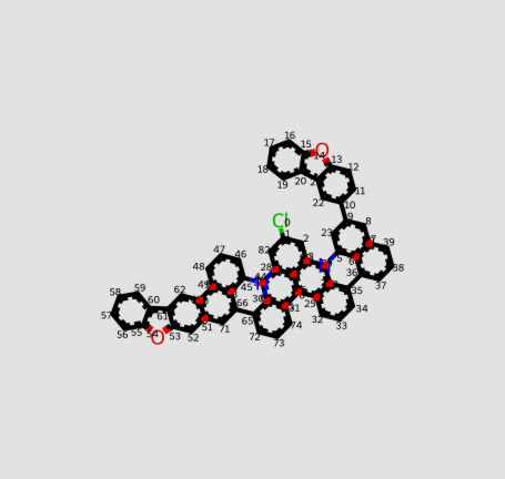 Clc1cc(N(c2cccc(-c3ccc4oc5ccccc5c4c3)c2)c2c(-c3ccccc3)cccc2-c2ccccc2)cc(N(c2cccc(-c3ccc4oc5ccccc5c4c3)c2)c2c(-c3ccccc3)cccc2-c2ccccc2)c1